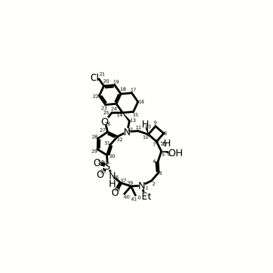 CCN1C/C=C/[C@H](O)[C@@H]2CC[C@H]2CN2C[C@@]3(CCCc4cc(Cl)ccc43)COc3ccc(cc32)S(=O)(=O)NC(=O)C1(C)C